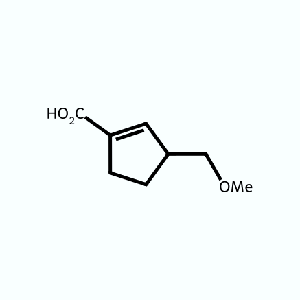 COCC1C=C(C(=O)O)CC1